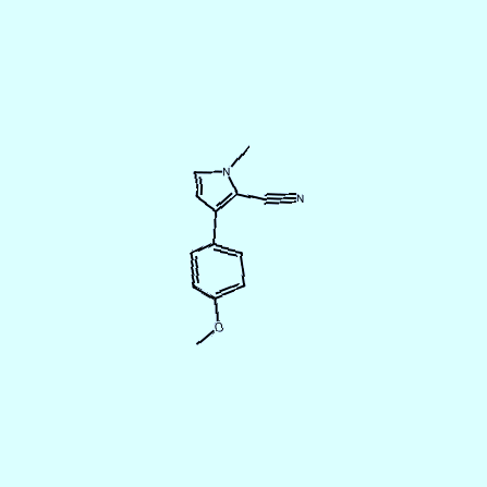 COc1ccc(-c2ccn(C)c2C#N)cc1